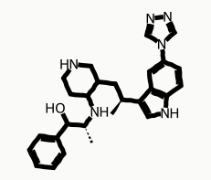 C[C@@H](CC1CNCCC1N[C@H](C)C(O)c1ccccc1)c1c[nH]c2ccc(-n3cnnc3)cc12